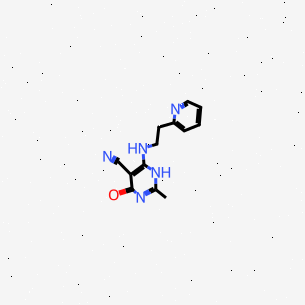 Cc1nc(=O)c(C#N)c(NCCc2ccccn2)[nH]1